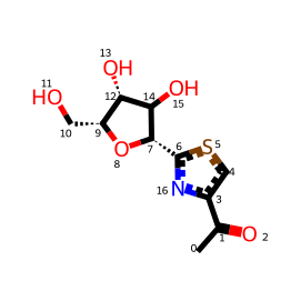 CC(=O)c1csc([C@@H]2O[C@H](CO)[C@H](O)C2O)n1